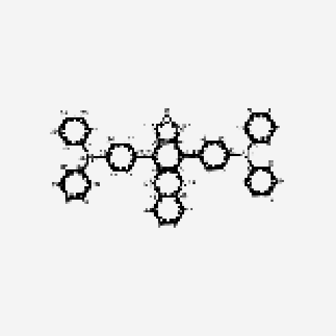 c1ccc(N(c2ccccc2)c2ccc(-c3c4nonc4c(-c4ccc(N(c5ccccc5)c5ccccc5)cc4)c4nc5ccccc5nc34)cc2)cc1